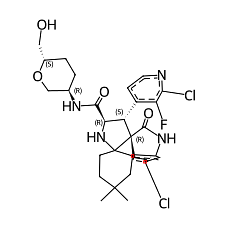 CC1(C)CCC2(CC1)N[C@@H](C(=O)N[C@@H]1CC[C@@H](CO)OC1)[C@H](c1ccnc(Cl)c1F)[C@]21C(=O)Nc2cc(Cl)ccc21